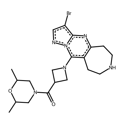 CC1CN(C(=O)C2CN(c3c4c(nc5c(Br)cnn35)CCNCC4)C2)CC(C)O1